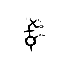 COc1cc(C)ccc1C(C)(C)CC(O)(CO)C(F)(F)F